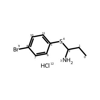 CCC(N)Sc1ccc(Br)cc1.Cl